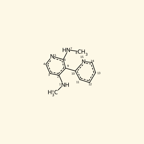 CNc1ccnc(NC)c1-c1ccccn1